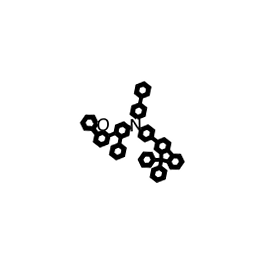 c1ccc(-c2ccc(N(c3ccc(-c4ccc5c(c4)C(c4ccccc4)(c4ccccc4)c4ccccc4-5)cc3)c3ccc(-c4cccc5c4oc4ccccc45)c(-c4ccccc4)c3)cc2)cc1